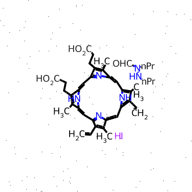 C=CC1=C(C)c2cc3[nH]c(cc4nc(cc5[nH]c(cc1n2)c(C)c5CCC(=O)O)C(CCC(=O)O)=C4C)c(C)c3C=C.CCCNN(C=O)CCC.I